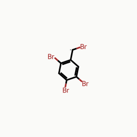 Br[CH]c1cc(Br)c(Br)cc1Br